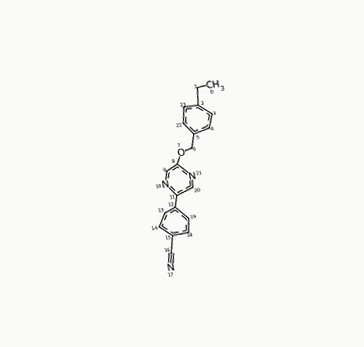 CCc1ccc(COc2cnc(-c3ccc(C#N)cc3)cn2)cc1